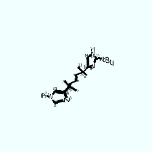 CC(C)n1cnc(C(C)(C)CCC(C)(C)c2c[nH]c(C(C)(C)C)n2)c1